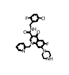 O=C(NCc1cc(Cl)ccc1F)c1cn(Cc2ccccn2)c2cc(N3CCNCC3)c(F)cc2c1=O